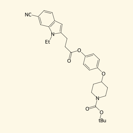 CCn1c(CCC(=O)Oc2ccc(OC3CCN(C(=O)OC(C)(C)C)CC3)cc2)cc2ccc(C#N)cc21